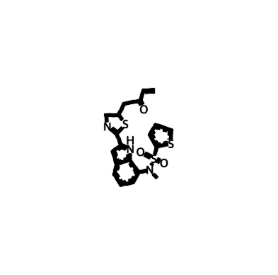 C=CC(=O)CC1CN=C(c2cc3cccc(N(C)S(=O)(=O)c4cccs4)c3[nH]2)S1